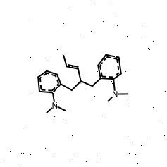 [CH2]C=C[C](Cc1ccccc1N(C)C)Cc1ccccc1N(C)C